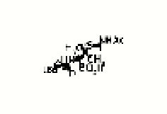 CC(=O)NCSC(C)(C)[C@H](NC(=O)OC(C)(C)C)C(=O)O